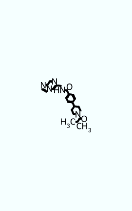 CC(C)C(=O)N1CCC(c2ccc(C(=O)NCc3cn4ccnc4cn3)cc2)CC1